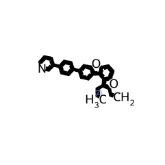 C=Cc1oc2ccc3oc4cc(-c5ccc(-c6cccnc6)cc5)ccc4c3c2c1/C=C\C